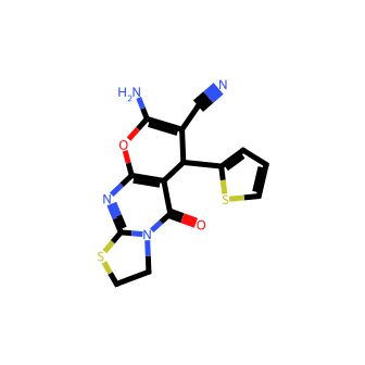 N#CC1=C(N)Oc2nc3n(c(=O)c2C1c1cccs1)CCS3